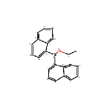 CCO[SiH](c1cccc2ccccc12)c1cccc2ccccc12